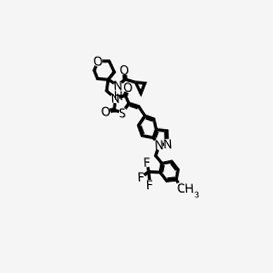 Cc1ccc(Cn2ncc3cc(/C=C4\SC(=O)N(CC5(NC(=O)C6CC6)CCOCC5)C4=O)ccc32)c(C(F)(F)F)c1